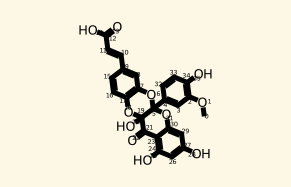 COc1cc(C23Oc4cc(/C=C/C(=O)O)ccc4OC2(O)C(=O)c2c(O)cc(O)cc2O3)ccc1O